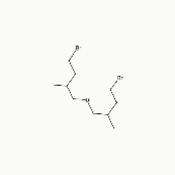 CC(CCBr)COCC(C)CCBr